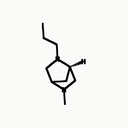 CCCN1CC2C[C@@H]1CN2C